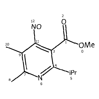 COC(=O)c1c(C(C)C)nc(C)c(C)c1N=O